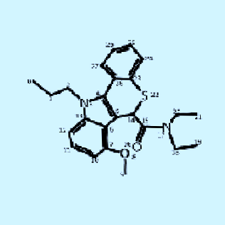 CCCn1c2c(c3c(OC)cccc31)C(C(=O)N(CC)CC)Sc1ccccc1-2